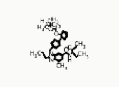 CCCc1nc2c(C)cc(C(=O)NC(CC)C(=O)CC)cc2n1Cc1ccc(-c2ccccc2OC(=O)OC(C)(C)C)cc1